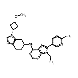 CCn1c(-c2cnc(C)nc2)nc2c(NC3CCc4ncn([C@H]5C[C@@H](OC)C5)c4C3)ncnc21